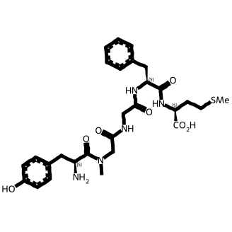 CSCC[C@H](NC(=O)[C@H](Cc1ccccc1)NC(=O)CNC(=O)CN(C)C(=O)[C@@H](N)Cc1ccc(O)cc1)C(=O)O